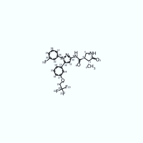 C[C@H]1C(=O)NC[C@@H]1C(=O)Nc1cc(-c2cccc(OCC(F)(F)F)c2)n(-c2cccc(F)c2)n1